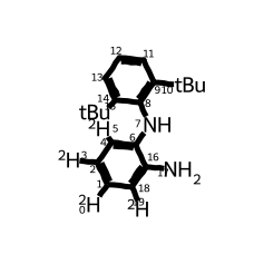 [2H]c1c([2H])c([2H])c(Nc2c(C(C)(C)C)cccc2C(C)(C)C)c(N)c1[2H]